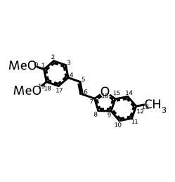 COc1ccc(C=Cc2cc3ccc(C)cc3o2)cc1OC